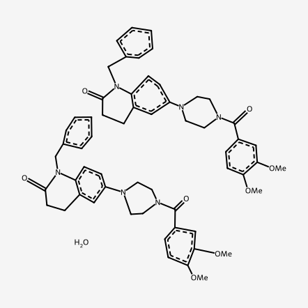 COc1ccc(C(=O)N2CCN(c3ccc4c(c3)CCC(=O)N4Cc3ccccc3)CC2)cc1OC.COc1ccc(C(=O)N2CCN(c3ccc4c(c3)CCC(=O)N4Cc3ccccc3)CC2)cc1OC.O